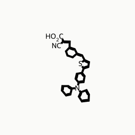 N#C/C(=C\C1=CC(=C/c2ccc(-c3ccc(N(c4ccccc4)c4ccccc4)cc3)s2)/CCC1)C(=O)O